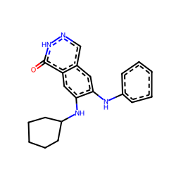 O=c1[nH]ncc2cc(Nc3ccccc3)c(NC3CCCCC3)cc12